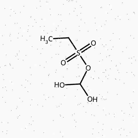 CCS(=O)(=O)OC(O)O